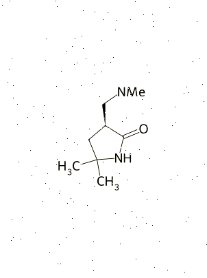 CNC[C@@H]1CC(C)(C)NC1=O